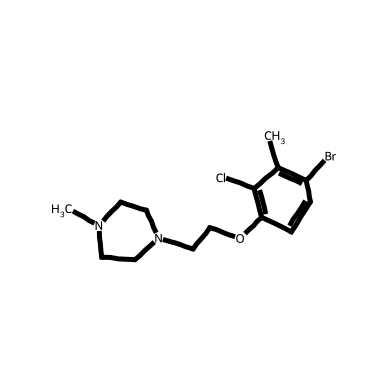 Cc1c(Br)ccc(OCCN2CCN(C)CC2)c1Cl